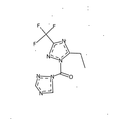 CCc1nc(C(F)(F)F)nn1C(=O)n1cncn1